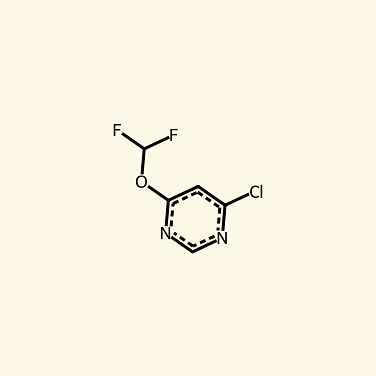 FC(F)Oc1cc(Cl)ncn1